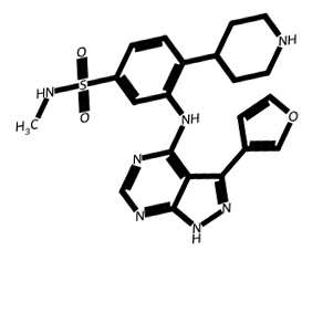 CNS(=O)(=O)c1ccc(C2CCNCC2)c(Nc2ncnc3[nH]nc(-c4ccoc4)c23)c1